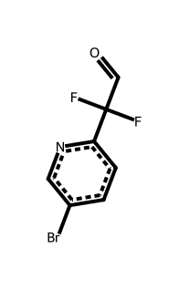 O=CC(F)(F)c1ccc(Br)cn1